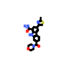 Cc1nc(-c2cc(C(N)=O)c3[nH]c4cc(C(=O)N5CCOCC5)ccc4c3c2)cs1